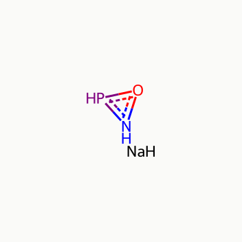 [NaH].[nH]1o[pH]1